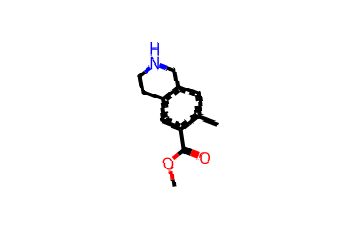 COC(=O)c1cc2c(cc1C)CNCC2